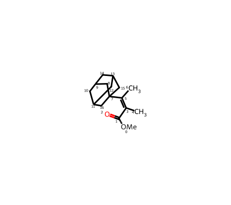 COC(=O)C(C)=C(C)C12CC3CC(CC(C3)C1)C2